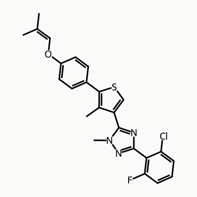 CC(C)=COc1ccc(-c2scc(-c3nc(-c4c(F)cccc4Cl)nn3C)c2C)cc1